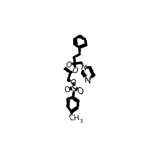 Cc1ccc(S(=O)(=O)OCC2COC(CCc3ccccc3)(Cn3ccnc3)O2)cc1